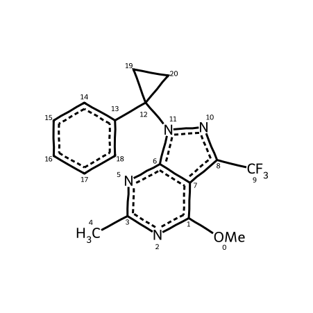 COc1nc(C)nc2c1c(C(F)(F)F)nn2C1(c2ccccc2)CC1